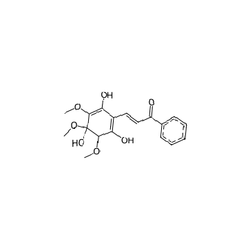 COC1=C(O)C(C=CC(=O)c2ccccc2)=C(O)C(OC)C1(O)OC